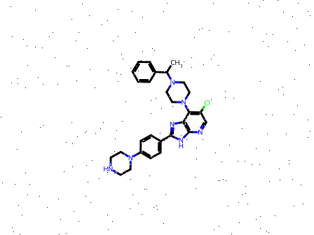 CC(c1ccccc1)N1CCN(c2c(Cl)cnc3[nH]c(-c4ccc(N5CCNCC5)cc4)nc23)CC1